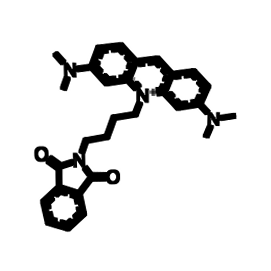 CN(C)c1ccc2cc3ccc(N(C)C)cc3[n+](CCCCN3C(=O)c4ccccc4C3=O)c2c1